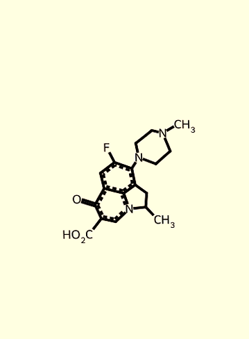 CC1Cc2c(N3CCN(C)CC3)c(F)cc3c(=O)c(C(=O)O)cn1c23